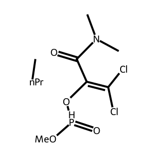 CCCC.CO[PH](=O)OC(C(=O)N(C)C)=C(Cl)Cl